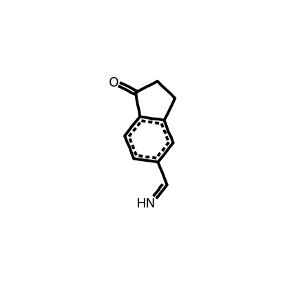 N=Cc1ccc2c(c1)CCC2=O